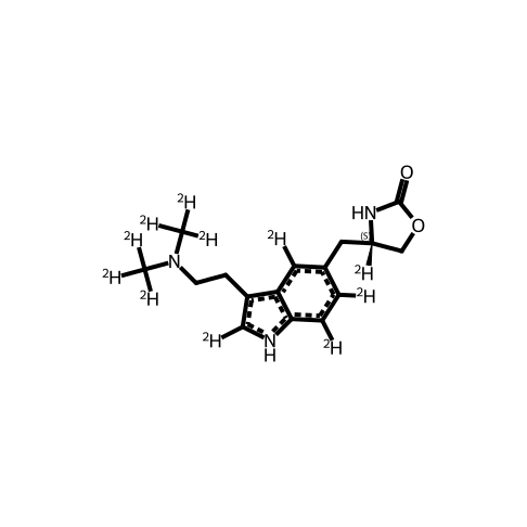 [2H]c1[nH]c2c([2H])c([2H])c(C[C@@]3([2H])COC(=O)N3)c([2H])c2c1CCN(C([2H])([2H])[2H])C([2H])([2H])[2H]